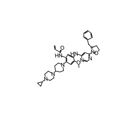 C=CC(=O)Nc1cc(Nc2cc(N3OCC[C@@H]3Cc3ccccc3)ncn2)c(OC)cc1N1CCC(N2CCN(C3CC3)CC2)CC1